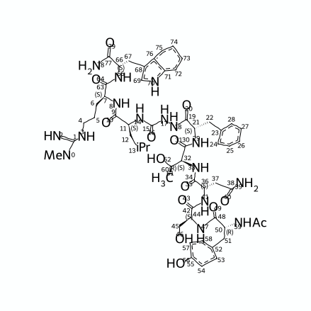 CNC(=N)NCCC[C@H](NC(=O)[C@H](CC(C)C)NC(=O)NNC(=O)[C@H](Cc1ccccc1)NC(=O)[C@@H](NC(=O)[C@H](CC(N)=O)NC(=O)[C@H](CO)NC(=O)[C@@H](Cc1ccc(O)cc1)NC(C)=O)[C@@H](C)O)C(=O)N[C@@H](Cc1c[nH]c2ccccc12)C(N)=O